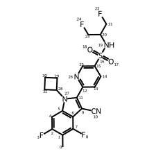 Cc1c(F)cc2c(c1F)c(C#N)c(-c1ccc(S(=O)(=O)NC(CF)CF)cn1)n2C1CCC1